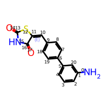 Nc1cccc(-c2ccc(/C=C3/SC(=O)NC3=O)cc2)c1